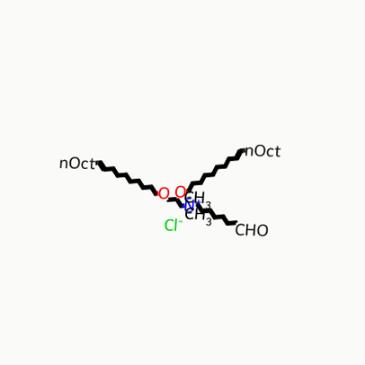 CCCCCCCCC=CCCCCCCCCOCC(C[N+](C)(C)CCCCCCCC=O)OCCCCCCCCC=CCCCCCCCC.[Cl-]